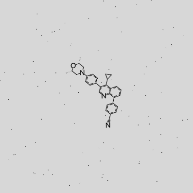 C[C@@H]1CN(c2ccc(-c3cnc4c(-c5ccc(C#N)cc5)cccc4c3C3CC3)cc2)C[C@H](C)O1